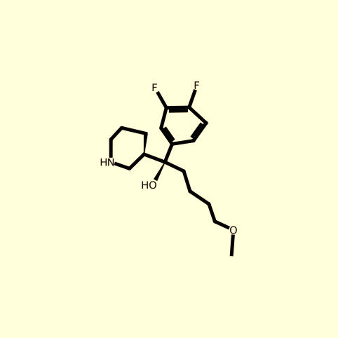 COCCCC[C@@](O)(c1ccc(F)c(F)c1)[C@@H]1CCCNC1